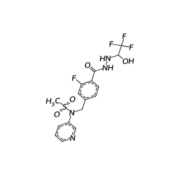 CS(=O)(=O)N(Cc1ccc(C(=O)NNC(O)C(F)(F)F)c(F)c1)c1cccnc1